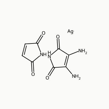 NC1=C(N)C(=O)NC1=O.O=C1C=CC(=O)N1.[Ag]